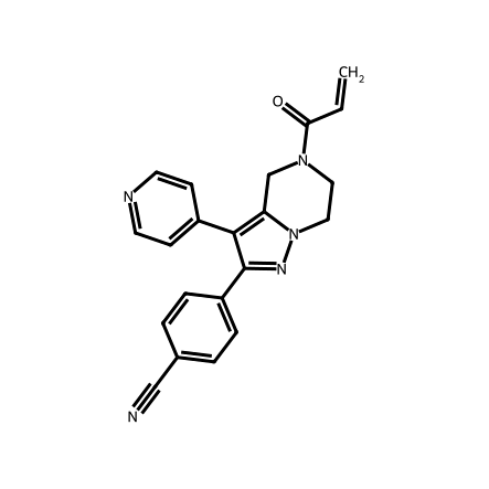 C=CC(=O)N1CCn2nc(-c3ccc(C#N)cc3)c(-c3ccncc3)c2C1